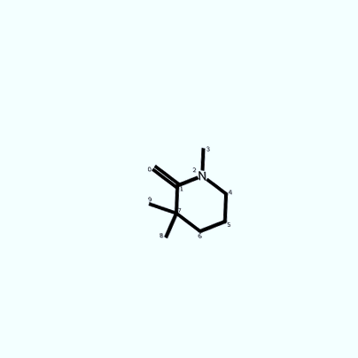 C=C1N(C)CCCC1(C)C